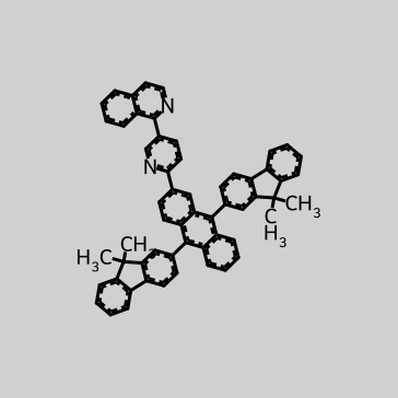 CC1(C)c2ccccc2-c2ccc(-c3c4ccccc4c(-c4ccc5c(c4)C(C)(C)c4ccccc4-5)c4cc(-c5ccc(-c6nccc7ccccc67)cn5)ccc34)cc21